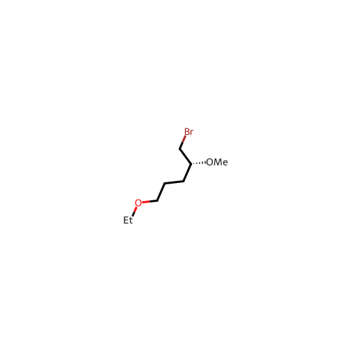 CCOCCC[C@H](CBr)OC